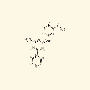 CCOc1cc(Nc2nc(N)nc(-c3ccccc3)n2)ccn1